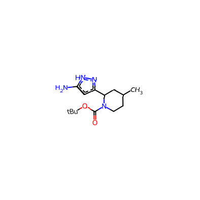 CC1CCN(C(=O)OC(C)(C)C)C(c2cc(N)[nH]n2)C1